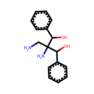 NCC(N)(C(O)c1ccccc1)C(O)c1ccccc1